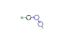 CC1CCN(C2CCCN(c3ccc(Br)cc3)C2)CC1